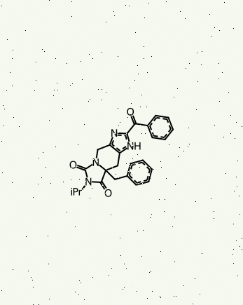 CC(C)N1C(=O)N2Cc3nc(C(=O)c4ccccc4)[nH]c3CC2(Cc2ccccc2)C1=O